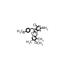 COc1ccc(Cn2c(=O)n(Cc3ncc(C)c(OC)c3C)c3nc(N)nc(Cl)c32)cc1